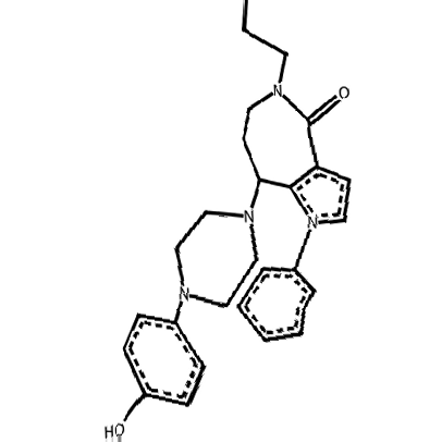 CCCN1CCC(N2CCN(c3ccc(O)cc3)CC2)c2c(ccn2-c2ccccc2)C1=O